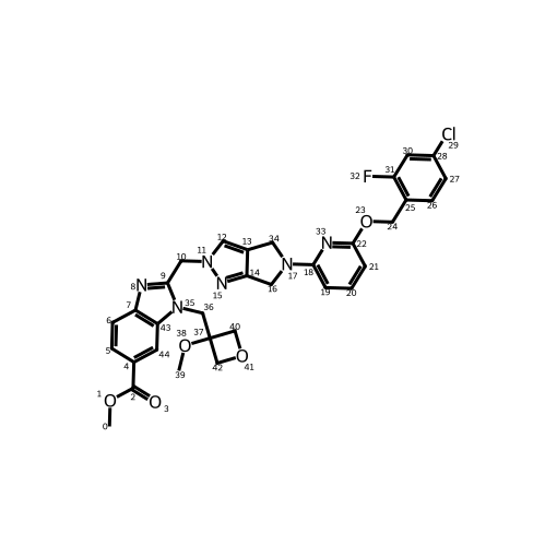 COC(=O)c1ccc2nc(Cn3cc4c(n3)CN(c3cccc(OCc5ccc(Cl)cc5F)n3)C4)n(CC3(OC)COC3)c2c1